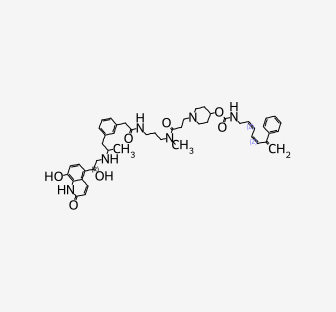 C=C(/C=C\C=C/CNC(=O)OC1CCN(CCC(=O)N(C)CCCNC(=O)Cc2cccc(CC(C)NC[C@H](O)c3ccc(O)c4[nH]c(=O)ccc34)c2)CC1)c1ccccc1